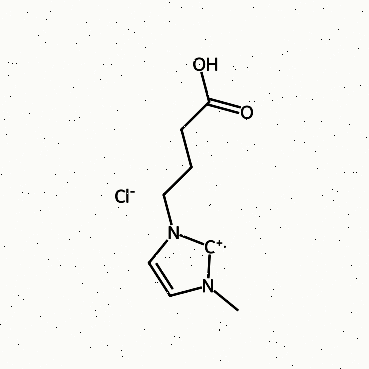 CN1[C+]N(CCCC(=O)O)C=C1.[Cl-]